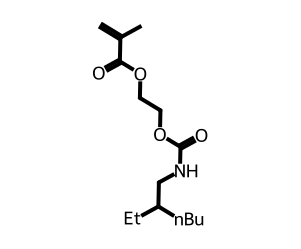 C=C(C)C(=O)OCCOC(=O)NCC(CC)CCCC